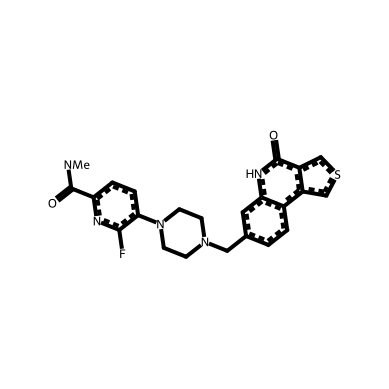 CNC(=O)c1ccc(N2CCN(Cc3ccc4c(c3)[nH]c(=O)c3cscc34)CC2)c(F)n1